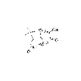 C[N+](C)(C)CCO.O=C(O)C(=O)O.OCCO.[Cl-]